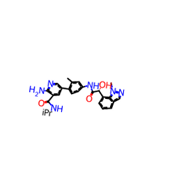 Cc1cc(NC(=O)[C@H](O)c2cccc3cnn(C)c23)ccc1-c1cnc(N)c(C(=O)NC(C)C)c1